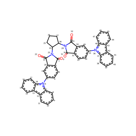 O=C1c2ccc(-n3c4ccccc4c4ccccc43)cc2C(=O)N1C1CCCC1N1C(=O)c2ccc(-n3c4ccccc4c4ccccc43)cc2C1=O